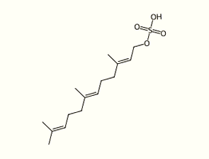 CC(C)=CCC/C(C)=C/CC/C(C)=C/COS(=O)(=O)O